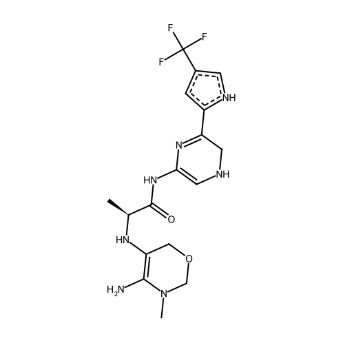 C[C@H](NC1=C(N)N(C)COC1)C(=O)NC1=CNCC(c2cc(C(F)(F)F)c[nH]2)=N1